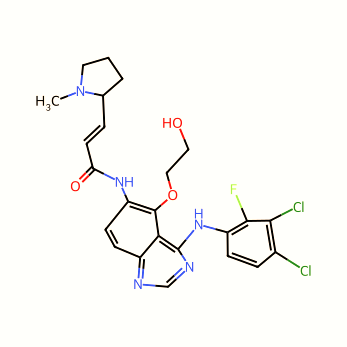 CN1CCCC1/C=C/C(=O)Nc1ccc2ncnc(Nc3ccc(Cl)c(Cl)c3F)c2c1OCCO